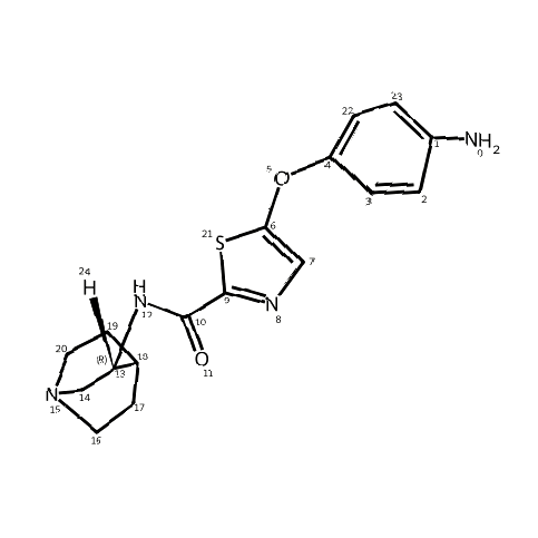 Nc1ccc(Oc2cnc(C(=O)N[C@H]3CN4CCC3CC4)s2)cc1